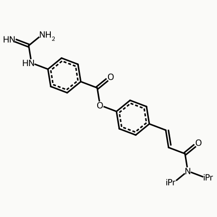 CC(C)N(C(=O)C=Cc1ccc(OC(=O)c2ccc(NC(=N)N)cc2)cc1)C(C)C